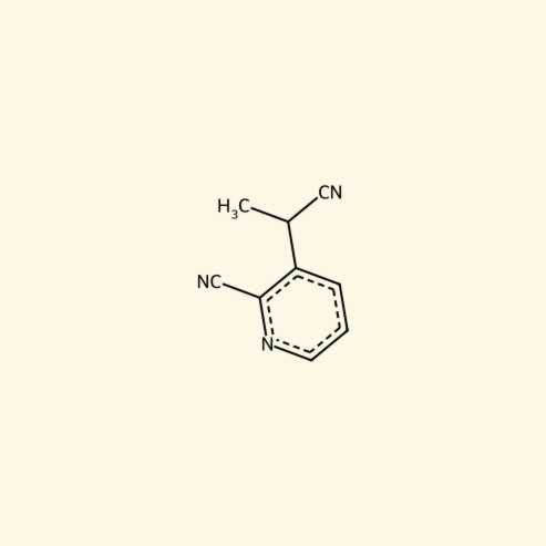 CC(C#N)c1cccnc1C#N